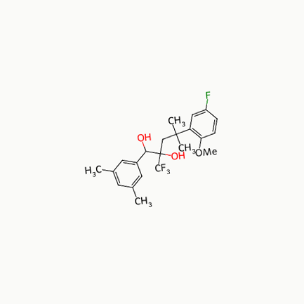 COc1ccc(F)cc1C(C)(C)CC(O)(C(O)c1cc(C)cc(C)c1)C(F)(F)F